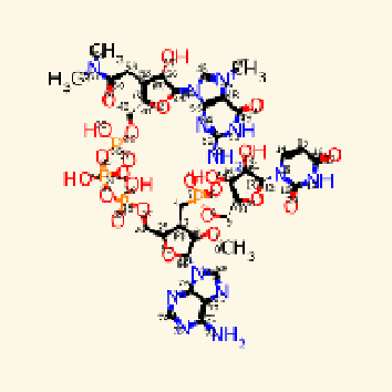 CO[C@@H]1[C@H](CP(=O)([O-])OC[C@H]2O[C@@H](n3ccc(=O)[nH]c3=O)[C@H](O)[C@@H]2O)C(COP(=O)(O)OP(=O)(O)OP(=O)(O)OC[C@H]2OC(n3c[n+](C)c4c(=O)[nH]c(N)nc43)[C@H](O)[C@@H]2CC(=O)N(C)C)O[C@H]1n1cnc2c(N)ncnc21